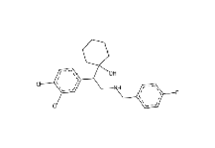 OC1(C(CNCc2ccc(F)cc2)c2ccc(Cl)c(Cl)c2)CCCCC1